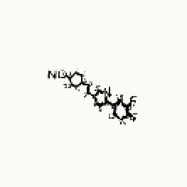 N#CC1CCC(/C=C/c2ccc(-c3ccc(F)c(F)c3)nc2)CC1